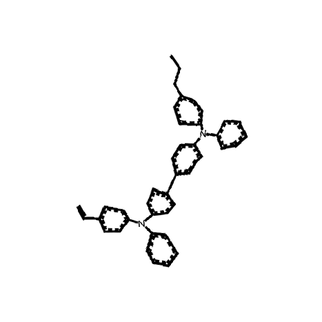 C=Cc1ccc(N(c2ccccc2)c2ccc(-c3ccc(N(c4ccccc4)c4ccc(CCC)cc4)cc3)cc2)cc1